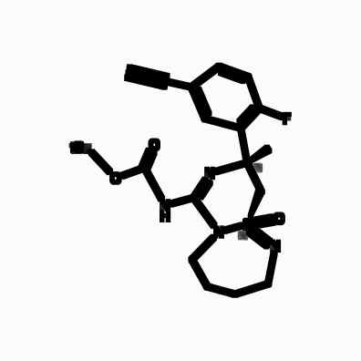 C#Cc1ccc(F)c([C@]2(C)C[S@@]3(=O)=NCCCCN3C(NC(=O)OC(C)(C)C)=N2)c1